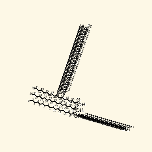 CCCCCCCCCCCCCCCCCC(=O)O.CCCCCCCCCCCCCCCCCC(=O)O.CCCCCCCCCCCCCCCCCC(=O)O.[Mg+2].[Mg+2].[Mg+2].[Mg+2].[Mg+2].[Mg+2].[Mg+2].[Mg+2].[Mg+2].[Mg+2].[Mg+2].[Mg+2].[Mg+2].[Mg+2].[Mg+2].[Mg+2].[Mg+2].[Mg+2].[Mg+2].[Mg+2].[Mg+2].[Mg+2].[Mg+2].[Mg+2].[Mg+2].[Mg+2].[Mg+2].[Mg+2].[Mg+2].[Mg+2].[Mg+2].[Mg+2].[Mg+2].[Mg+2].[Mg+2].[Mg+2].[Mg+2].[Mg+2].[Mg+2].[Mg+2].[Mg+2].[Mg+2].[Mg+2].[Mg+2].[Mg+2].[Mg+2].[Mg+2].[Mg+2].[Mg+2].[Mg+2].[Mg+2].[Mg+2].[Mg+2].[Mg+2].[Mg+2].[Mg+2].[Mg+2].[Mg+2].[Mg+2].[Mg+2].[Mg+2].[Mg+2].[Mg+2]